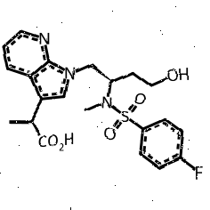 CC(C(=O)O)c1cn(C[C@@H](CCO)N(C)S(=O)(=O)c2ccc(F)cc2)c2ncccc12